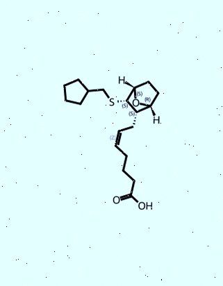 O=C(O)CCC/C=C\C[C@@H]1[C@H](SCC2CCCC2)[C@@H]2CC[C@H]1O2